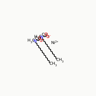 CCCCCCCCCCCCCCCCCCN(C)[C@H](C)CC(=O)[O-].CCCCCCCCCCCCCCCCCCN(C)[C@H](C)CC(=O)[O-].[Ni+2]